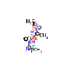 Cc1cc(C(=O)N[C@@H](Cc2ccccc2)[C@@H](O)CNCc2cncc(C(C)(F)F)c2)cc(C(=O)N2CCC[C@@H]2c2nc(C)co2)c1